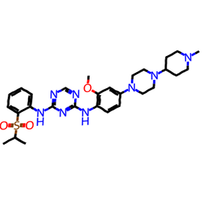 COc1cc(N2CCN(C3CCN(C)CC3)CC2)ccc1Nc1ncnc(Nc2ccccc2S(=O)(=O)C(C)C)n1